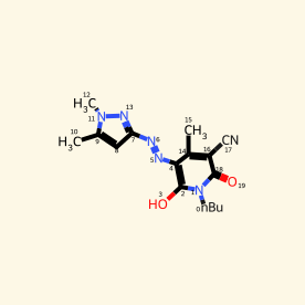 CCCCn1c(O)c(N=Nc2cc(C)n(C)n2)c(C)c(C#N)c1=O